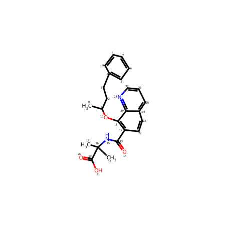 CC(CCc1ccccc1)Oc1c(C(=O)NC(C)(C)C(=O)O)ccc2cccnc12